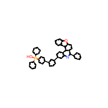 O[PH](c1ccccc1)(c1ccccc1)c1ccc(-c2cccc(-c3ccc4c(c3)nc(-c3ccccc3)c3ccc5oc6ccccc6c5c34)c2)cc1